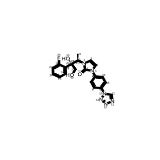 C[C@@H](n1ccn(-c2ccc(-n3cnnn3)cc2)c1=O)[C@@](O)(CO)c1ccccc1F